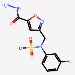 CCS(=O)(=O)N(Cc1cc(C(=O)NN)on1)c1cccc(Cl)c1